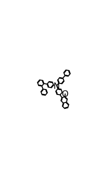 C1=CC2c3cc4ccccc4cc3OC2C=C1N(c1ccc(-c2ccccc2)cc1)c1ccc(-c2ccccc2-c2ccccc2)cc1